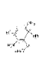 CCCCCCOc1c(N)c(CC)cc(N)c1CCC